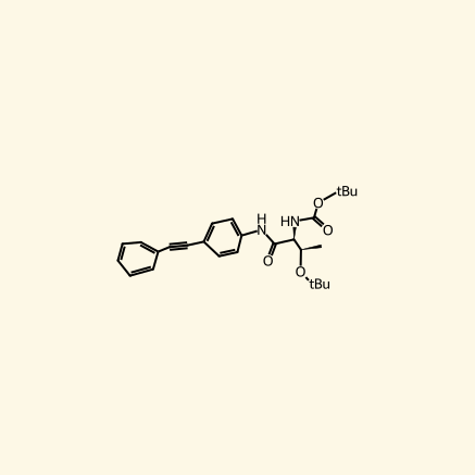 C[C@@H](OC(C)(C)C)[C@H](NC(=O)OC(C)(C)C)C(=O)Nc1ccc(C#Cc2ccccc2)cc1